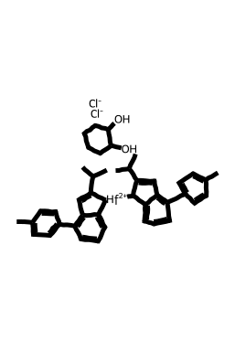 Cc1ccc(-c2cccc3c2C=C(C(C)C)[CH]3[Hf+2][CH]2C(C(C)C)=Cc3c(-c4ccc(C)cc4)cccc32)cc1.OC1CCCCC1O.[Cl-].[Cl-]